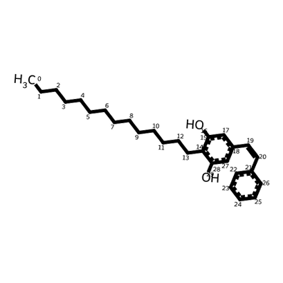 CCCCCCCCCCCCCCc1c(O)cc(/C=C\c2ccccc2)cc1O